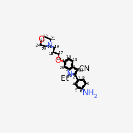 CCn1c(-c2ccc(N)cc2)c(C#N)c2ccc(OCCCN3CCOCC3)cc21